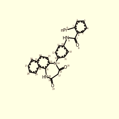 CCCc1ccccc1C(=O)Nc1ccc(N2C(=O)CC(=O)Nc3c2ccc2ccccc32)cc1